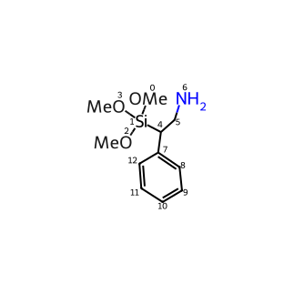 CO[Si](OC)(OC)C(CN)c1ccccc1